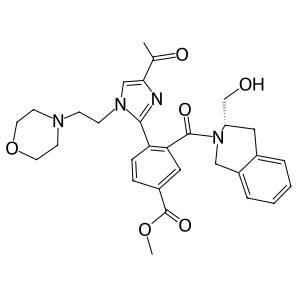 COC(=O)c1ccc(-c2nc(C(C)=O)cn2CCN2CCOCC2)c(C(=O)N2Cc3ccccc3C[C@H]2CO)c1